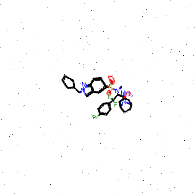 CN([C@@H](C(=O)N1C2CCC1CC(N)C2)C(F)(F)c1ccc(Br)cc1)S(=O)(=O)c1ccc2nn(CC3CCCC3)cc2c1